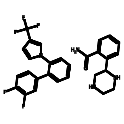 Fc1ccc(-c2ccccc2-n2ccc(C(F)(F)F)c2)cc1F.NC(=O)c1ccccc1C1CNCCN1